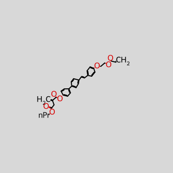 C=CC(=O)OCCOc1ccc(/C=C/c2ccc(-c3ccc(OC(=O)C(=C)CC(=O)OCCC)cc3)cc2)cc1